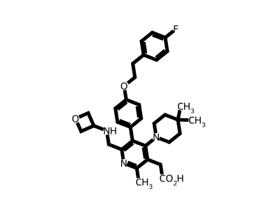 Cc1nc(CNC2COC2)c(-c2ccc(OCCc3ccc(F)cc3)cc2)c(N2CCC(C)(C)CC2)c1CC(=O)O